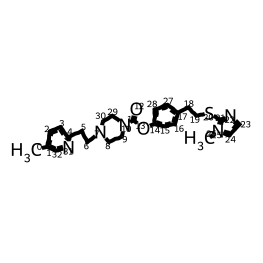 Cc1ccc(CCN2CCN(C(=O)Oc3ccc(CCSc4nccn4C)cc3)CC2)nc1